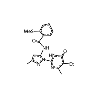 CCc1c(C)nc(-n2nc(C)cc2NC(=O)c2ccccc2SC)[nH]c1=O